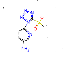 CS(=O)(=O)c1nnnn1-c1ccc(N)cn1